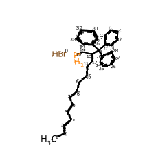 Br.CCCCCCCCCCCCC(CP)C(c1ccccc1)(c1ccccc1)c1ccccc1